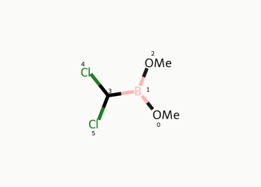 COB(OC)C(Cl)Cl